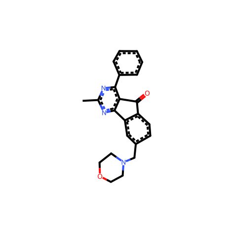 Cc1nc(-c2ccccc2)c2c(n1)-c1cc(CN3CCOCC3)ccc1C2=O